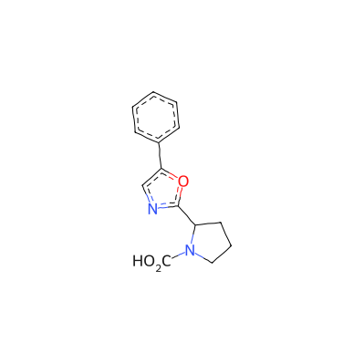 O=C(O)N1CCCC1c1ncc(-c2ccccc2)o1